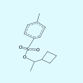 Cc1ccc(S(=O)(=O)OC(C)C2CCC2)cc1